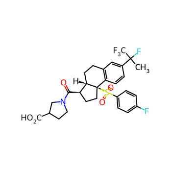 CC(F)(c1ccc2c(c1)CC[C@H]1[C@H](C(=O)N3CCC(C(=O)O)C3)CC[C@@]21S(=O)(=O)c1ccc(F)cc1)C(F)(F)F